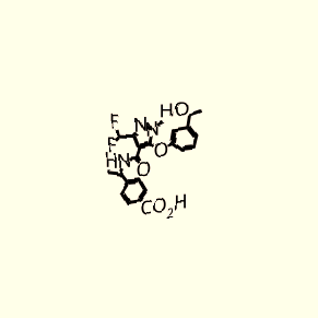 CC(O)c1cccc(Oc2c(C(=O)NC(C)c3ccc(C(=O)O)cc3)c(C(F)F)nn2C)c1